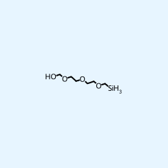 OCOCCOCCOC[SiH3]